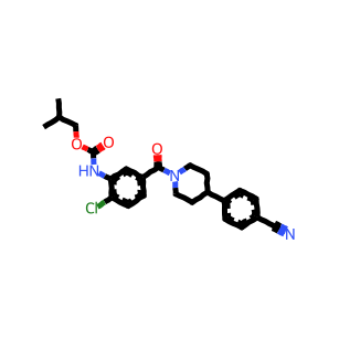 CC(C)COC(=O)Nc1cc(C(=O)N2CCC(c3ccc(C#N)cc3)CC2)ccc1Cl